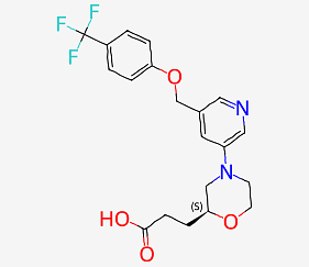 O=C(O)CC[C@H]1CN(c2cncc(COc3ccc(C(F)(F)F)cc3)c2)CCO1